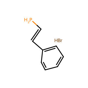 Br.PC=Cc1ccccc1